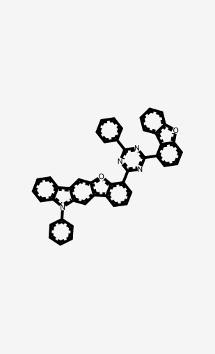 c1ccc(-c2nc(-c3cccc4c3oc3cc5c6ccccc6n(-c6ccccc6)c5cc34)nc(-c3cccc4oc5ccccc5c34)n2)cc1